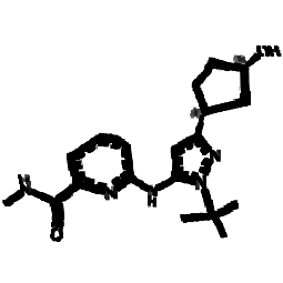 CNC(=O)c1cccc(Nc2cc([C@H]3CC[C@@H](O)C3)nn2C(C)(C)C)n1